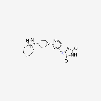 O=C1NC(=O)/C(=C/c2ccnc(N3CCC(c4nnc5n4CCCCC5)CC3)n2)S1